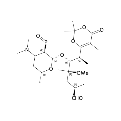 CO[C@](C)(C[C@@H](C)C=O)[C@H](O[C@@H]1O[C@H](C)CC(N(C)C)[C@H]1P=O)[C@H](C)C1=C(C)C(=O)OC(C)(C)O1